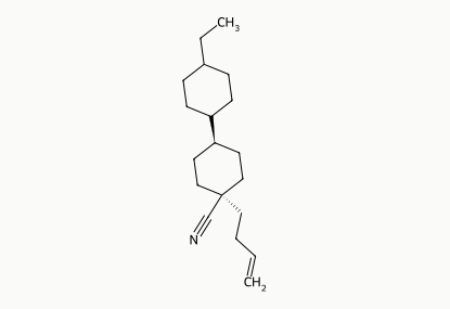 C=CCC[C@]1(C#N)CC[C@@H](C2CCC(CC)CC2)CC1